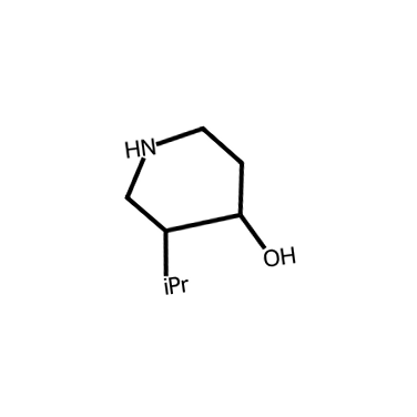 CC(C)C1CNCCC1O